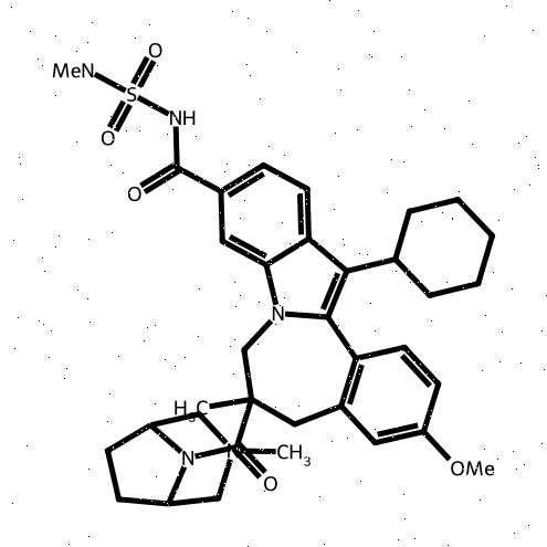 CNS(=O)(=O)NC(=O)c1ccc2c(C3CCCCC3)c3n(c2c1)CC(C)(C(=O)N1C2CCC1CN(C)C2)Cc1cc(OC)ccc1-3